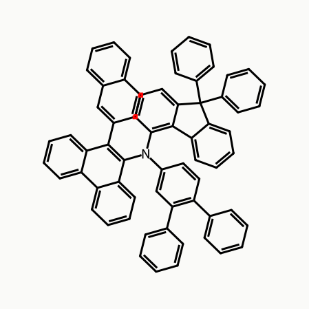 c1ccc(-c2ccc(N(c3cccc4c3-c3ccccc3C4(c3ccccc3)c3ccccc3)c3c(-c4ccc5ccccc5c4)c4ccccc4c4ccccc34)cc2-c2ccccc2)cc1